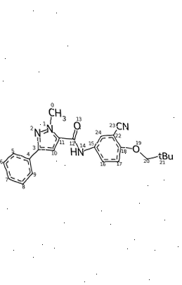 Cn1nc(-c2ccccc2)cc1C(=O)Nc1ccc(OCC(C)(C)C)c(C#N)c1